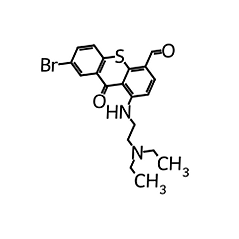 CCN(CC)CCNc1ccc(C=O)c2sc3ccc(Br)cc3c(=O)c12